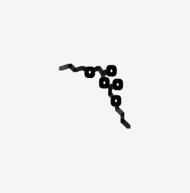 CCCCOCC(=O)OC(=O)COCCCC